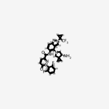 N[C@H]1CN(c2c(NC(=O)c3ccc(=O)n(-c4c(F)cccc4F)n3)ccc3nn(C4(C(F)(F)F)CC4)cc23)CC12CC2